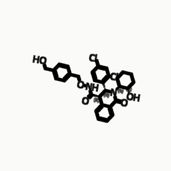 O=C(NOCc1ccc(CO)cc1)[C@@H]1c2ccccc2C(=O)N([C@H]2CCCC[C@@H]2O)[C@H]1c1ccc(Cl)cc1Cl